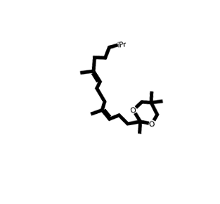 C/C(=C/CCC1(C)OCC(C)(C)CO1)CC/C=C(\C)CCCC(C)C